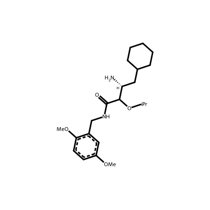 COc1ccc(OC)c(CNC(=O)C(OC(C)C)[C@H](N)CC2CCCCC2)c1